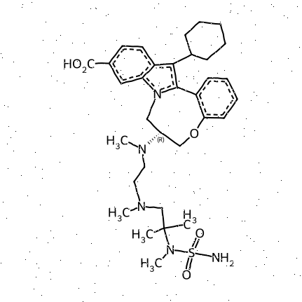 CN(CCN(C)[C@H]1COc2ccccc2-c2c(C3CCCCC3)c3ccc(C(=O)O)cc3n2C1)CC(C)(C)N(C)S(N)(=O)=O